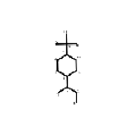 CCC(C)C1CCC(C(C)(C)C)CC1